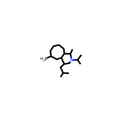 BC1CCCCC2C(C1)C(CC(C)C)CN(C(C)C)C2C